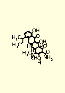 CCC(C)c1ccc(O)c2c1C[C@H]1C[C@H]3[C@H](N(C)C)C(O)=C(C(N)=O)C(=O)[C@@]3(O)C(O)=C1C2=O